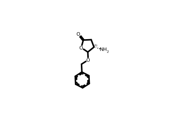 N[C@H]1CC(=O)OC1OCc1ccccc1